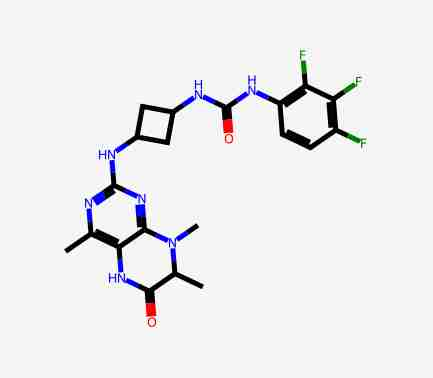 Cc1nc(NC2CC(NC(=O)Nc3ccc(F)c(F)c3F)C2)nc2c1NC(=O)C(C)N2C